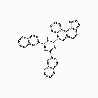 c1ccc2cc(C3=NC(c4cc5ccc6cc[nH]c6c5c5ccccc45)NC(c4ccc5ccccc5c4)=N3)ccc2c1